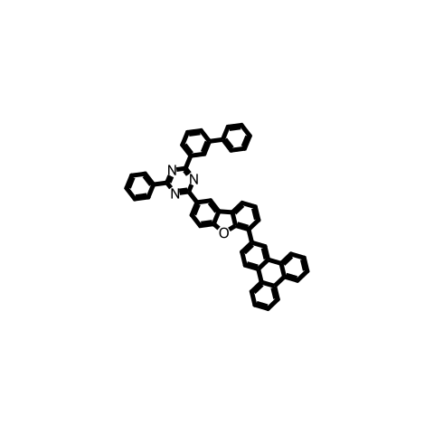 c1ccc(-c2cccc(-c3nc(-c4ccccc4)nc(-c4ccc5oc6c(-c7ccc8c9ccccc9c9ccccc9c8c7)cccc6c5c4)n3)c2)cc1